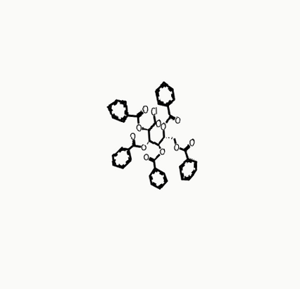 O=C(OC[C@@H](OC(=O)c1ccccc1)[C@@H](OC(=O)c1ccccc1)[C@H](OC(=O)c1ccccc1)[C@@H](OC(=O)c1ccccc1)C(=O)Cl)c1ccccc1